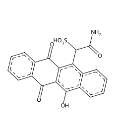 NC(=O)C(c1c2c(c(O)c3ccccc13)C(=O)c1ccccc1C2=O)S(=O)(=O)O